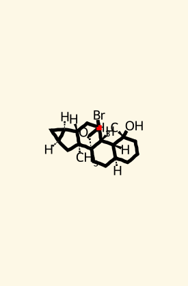 C[C@]12C[C@H]3C[C@H]3[C@@H]1CC[C@@H]1[C@H]3[C@@H](CCC[C@@]3(C)O)CC[C@]12C(=O)CBr